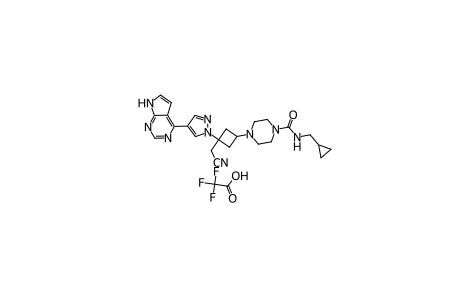 N#CCC1(n2cc(-c3ncnc4[nH]ccc34)cn2)CC(N2CCN(C(=O)NCC3CC3)CC2)C1.O=C(O)C(F)(F)F